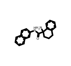 NC1(C(=O)Nc2ccc3ccccc3c2)CCCc2ccccc21